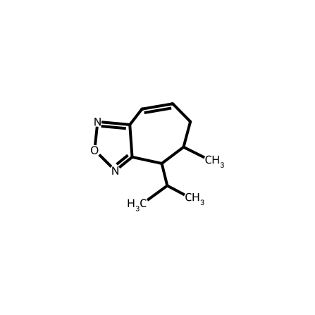 CC(C)C1c2nonc2C=CCC1C